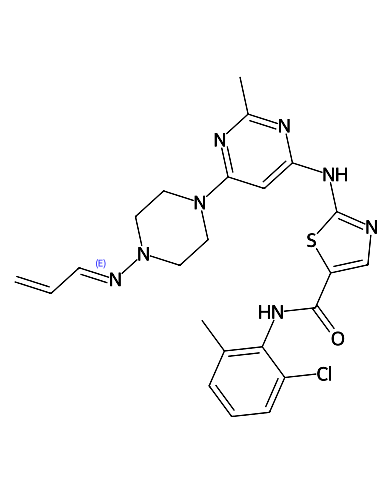 C=C/C=N/N1CCN(c2cc(Nc3ncc(C(=O)Nc4c(C)cccc4Cl)s3)nc(C)n2)CC1